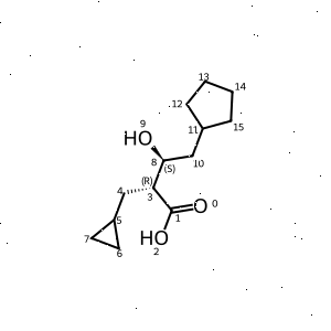 O=C(O)[C@H](CC1CC1)[C@@H](O)CC1CCCC1